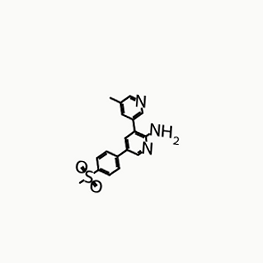 Cc1cncc(-c2cc(-c3ccc(S(C)(=O)=O)cc3)cnc2N)c1